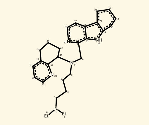 CCN(CC)CCCCN(Cc1nccc2c1[nH]c1ccccc12)C1CCCc2cccnc21